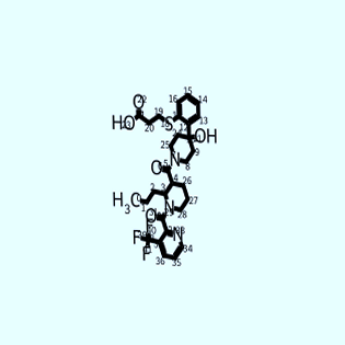 CCCC1C(C(=O)N2CCC(O)(c3ccccc3SCCC(=O)O)CC2)CCCN1C(=O)c1ncccc1C(F)(F)F